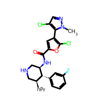 CCC[C@H]1CNC[C@@H](NC(=O)c2cc(-c3c(Cl)cnn3C)c(Cl)o2)[C@@H]1c1cccc(F)c1